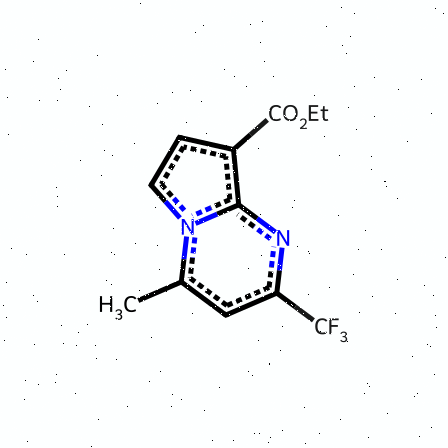 CCOC(=O)c1ccn2c(C)cc(C(F)(F)F)nc12